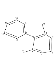 Cc1cccc(C)c1-c1cc[c]cc1